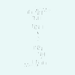 COC(=O)N[C@@H](C(=O)CN[C@H](C)c1ncc(CCOCC#Cc2cnc([C@H](C)CNC(=O)[C@H](NC(=O)OC)C(C)C)[nH]2)[nH]1)C(C)C